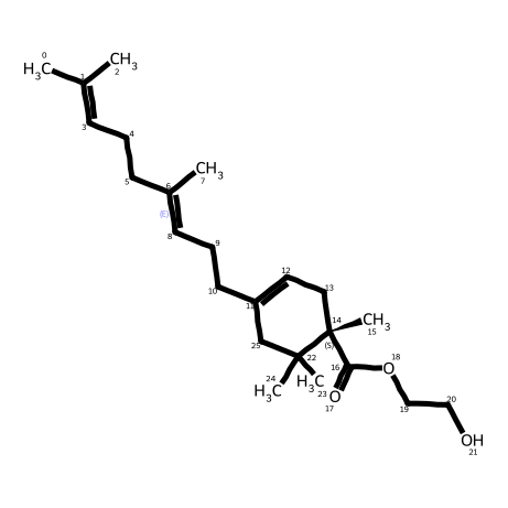 CC(C)=CCC/C(C)=C/CCC1=CC[C@](C)(C(=O)OCCO)C(C)(C)C1